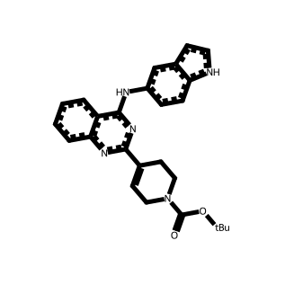 CC(C)(C)OC(=O)N1CC=C(c2nc(Nc3ccc4[nH]ccc4c3)c3ccccc3n2)CC1